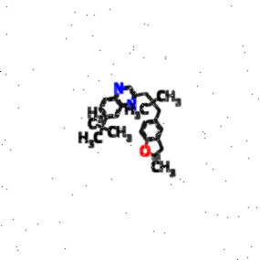 C[C@H]1Cc2cc(CC(C)(C)Cc3cnc4ccc(C(C)(C)C)cc4n3)ccc2O1